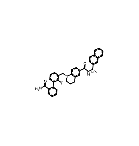 C[C@H](NC(=O)c1ccc2c(c1)CCCN2Cc1cccc(-c2ccccc2C(N)=O)c1F)c1ccc2ccccc2c1